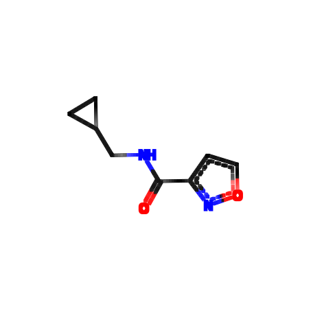 O=C(NCC1CC1)c1ccon1